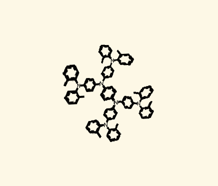 Cc1ccccc1N(c1ccc(N(c2ccc(N(c3ccc(N(c4ccccc4C)c4ccccc4C)cc3)c3ccc(N(c4ccccc4C)c4ccccc4C)cc3)cc2)c2ccc(N(c3ccccc3C)c3ccccc3C)cc2)cc1)c1ccccc1C